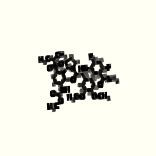 COC(=O)Nc1ccc(S(=O)(=O)C(C)C)c([C@H]2CCCN2C(=O)[C@H](Nc2cc(C(N)=O)c(F)cc2F)c2ccc(OC)c(OC)c2)c1